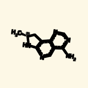 C[C@@H]1Cc2c(ncc3c(N)ncnc23)N1